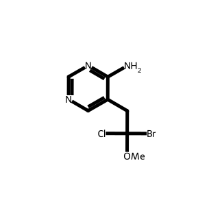 COC(Cl)(Br)Cc1cncnc1N